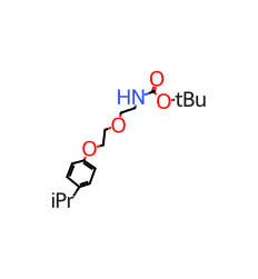 CC(C)c1ccc(OCCOCCNC(=O)OC(C)(C)C)cc1